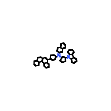 c1cc(N(c2ccc(-c3cc4ccc5ccccc5c4c4ccccc34)cc2)c2ccc3ccccc3c2)cc(-n2c3ccccc3c3ccccc32)c1